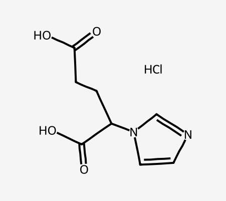 Cl.O=C(O)CCC(C(=O)O)n1ccnc1